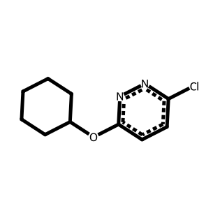 Clc1ccc(OC2CCCCC2)nn1